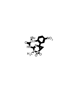 CN1C(NC(=O)OC(C)(C)C)=NC2(c3cc([N+](=O)[O-])ccc3F)CC2S1(=O)=O